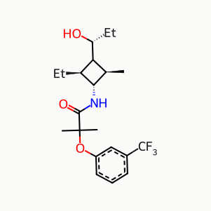 CC[C@@H](O)C1[C@@H](C)[C@H](NC(=O)C(C)(C)Oc2cccc(C(F)(F)F)c2)[C@H]1CC